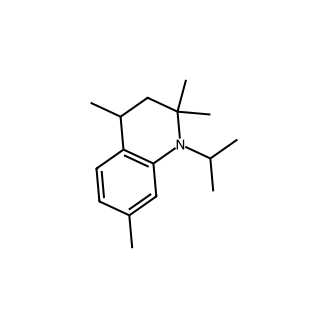 Cc1ccc2c(c1)N(C(C)C)C(C)(C)CC2C